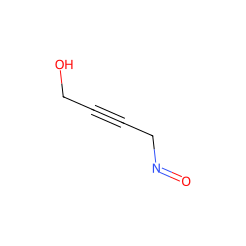 O=NCC#CCO